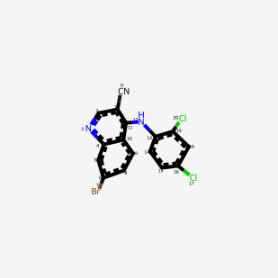 N#Cc1cnc2cc(Br)ccc2c1Nc1ccc(Cl)cc1Cl